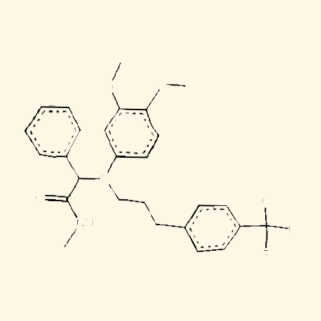 CNC(=O)C(c1ccccc1)N(CCCc1ccc(C(F)(F)F)cc1)c1ccc(OC)c(OC)c1